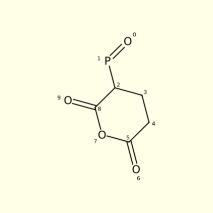 O=PC1CCC(=O)OC1=O